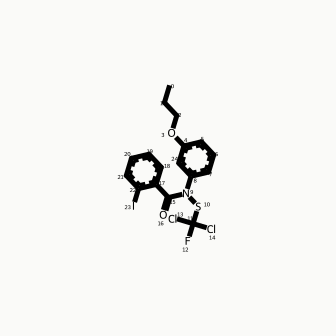 CCCOc1cccc(N(SC(F)(Cl)Cl)C(=O)c2ccccc2I)c1